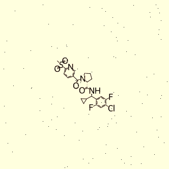 CS(=O)(=O)c1ccc(C(=O)N2CCC[C@@H]2C(=O)N[C@@H](c2cc(F)c(Cl)cc2F)C2CC2)cn1